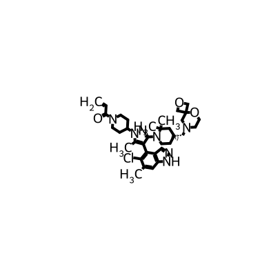 C=CC(=O)N1CCC(n2nc(N3CC[C@@H](CN4CCOC5(COC5)C4)CC3(C)C)c(-c3c(Cl)c(C)cc4[nH]ncc34)c2C)CC1